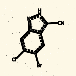 N#Cc1[nH]nc2cc(Cl)c(Br)cc12